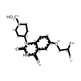 O=C(O)N1CCC(n2c(=O)[nH]c(=O)c3cc(OCC(F)F)ccc32)CC1